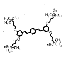 CCCC[N+](C)(C)CCCOc1cc(/C=C/c2ccc(/C=C/c3cc(OCCC[N+](C)(C)CCCC)cc(OCCC[N+](C)(C)CCCC)c3)cc2)cc(OCCC[N+](C)(C)CCCC)c1